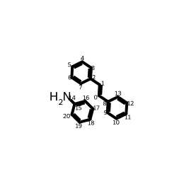 C(=Cc1ccccc1)c1ccccc1.Nc1ccccc1